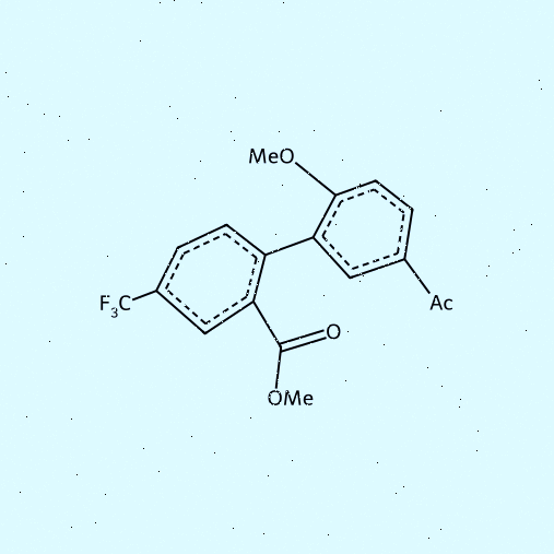 COC(=O)c1cc(C(F)(F)F)ccc1-c1cc(C(C)=O)ccc1OC